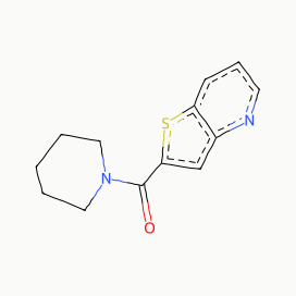 O=C(c1cc2ncccc2s1)N1CCCCC1